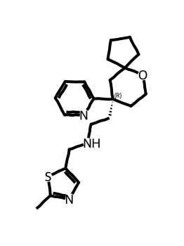 Cc1ncc(CNCC[C@@]2(c3ccccn3)CCOC3(CCCC3)C2)s1